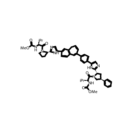 COC(=O)N[C@H](C(=O)N1CCC[C@H]1c1ncc(-c2ccc3c(c2)CC=CC(c2ccc(-c4cnc([C@@H]5C[C@@H](c6ccccc6)CN5C(=O)[C@@H](NC(=O)OC)C(C)C)[nH]4)cc2)=C3)[nH]1)C(C)C